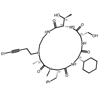 CCC#CCCN1CCNC(=O)[C@H]([C@H](C)O)NC(=O)[C@H](CO)NC(=O)[C@H](C2CCCCC2)NC(=O)[C@H](CC(C)C)N(C)C(=O)[C@@H]1C